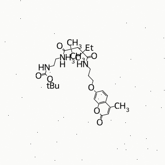 CCC(C)(CC(C)(C)C(=O)NCCNC(=O)OC(C)(C)C)C(=O)NCCCOc1ccc2c(C)cc(=O)oc2c1